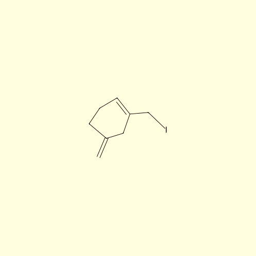 C=C1CCC=C(CI)C1